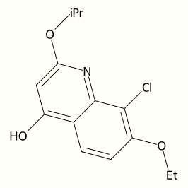 CCOc1ccc2c(O)cc(OC(C)C)nc2c1Cl